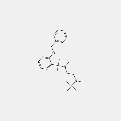 CN(CCN(C)C(C)(C)c1ccccc1OCc1ccccc1)C(C)(C)C